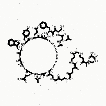 CC(=O)N[C@@H](CC(C)C)C(=O)N[C@H](C(=O)C(=O)[C@H](Cc1ccccc1)NN[C@]1(C)CCCCCCCCCCC[C@@](C)(C(=O)CN[C@@H](C)C(=O)CCN[C@@H](C)C(=O)CCC(=O)[C@H](C)NCCC(=O)[C@H](C)NCCC(=O)[C@H](C)NCN[C@H](C)C(N)=O)NC(=O)[C@H](CC(C)C)NN[C@@H](CCC(N)=O)C(=O)CN[C@@H](C)C(=O)CC(=O)[C@H](Cc2c[nH]c3ccccc23)NN[C@@H](Cc2ccc(O)cc2)C(=O)N[C@@H](CCC(=O)O)C(=O)C1=O)[C@@H](C)O